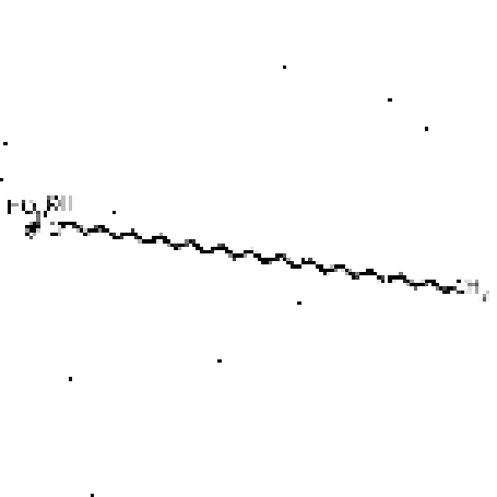 CCCCCCCCCCCCCCCCCCCCCCCCCCCOP(=O)(O)O